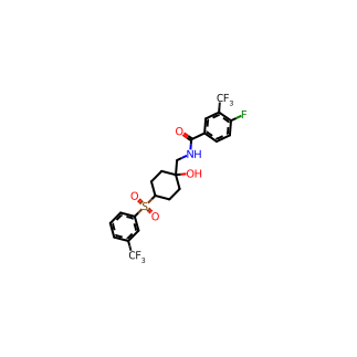 O=C(NCC1(O)CCC(S(=O)(=O)c2cccc(C(F)(F)F)c2)CC1)c1ccc(F)c(C(F)(F)F)c1